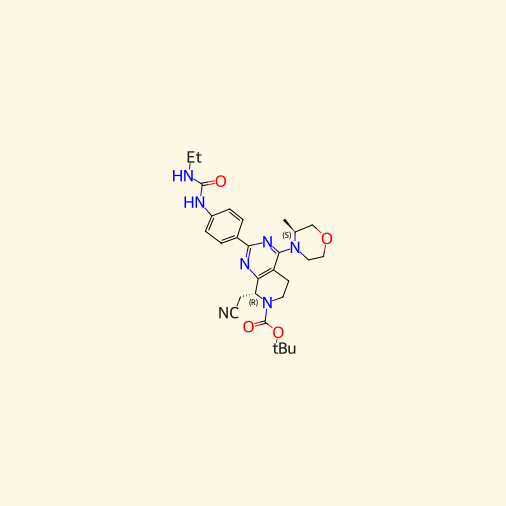 CCNC(=O)Nc1ccc(-c2nc3c(c(N4CCOC[C@@H]4C)n2)CCN(C(=O)OC(C)(C)C)[C@@H]3CC#N)cc1